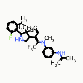 C=C/C(=C(\N(C)c1cccc(NC(=C)C)c1)C(F)(F)F)C1CNC(c2c(C)cccc2F)C1(C)C